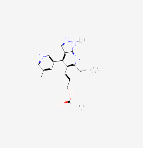 CCn1ncc2c(-c3cncc(C)c3)c(/C=C/COC(=O)OC)c(COC)nc21